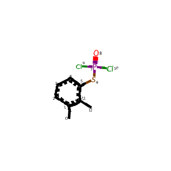 Cc1cccc(SP(=O)(Cl)Cl)c1C